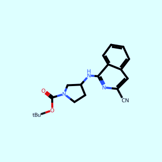 CC(C)(C)OC(=O)N1CCC(Nc2nc(C#N)cc3ccccc23)C1